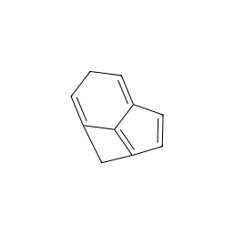 C1=CC2=C3C1=CCC=C3C2